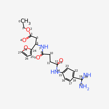 CCOC(=O)CC(NC(=O)CCC(=O)Nc1ccc(C(=N)N)cc1)c1ccco1